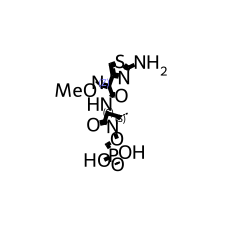 CO/N=C(\C(=O)N[C@@H]1C(=O)N(OCP(=O)(O)O)[C@H]1C)c1csc(N)n1